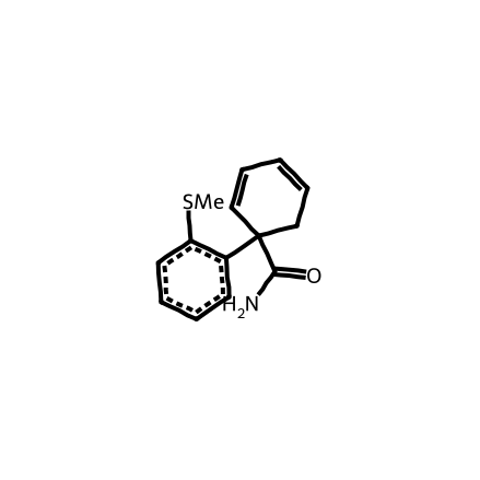 CSc1ccccc1C1(C(N)=O)C=CC=CC1